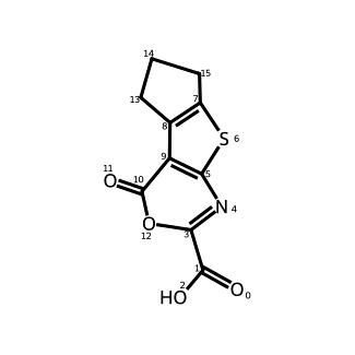 O=C(O)c1nc2sc3c(c2c(=O)o1)CCC3